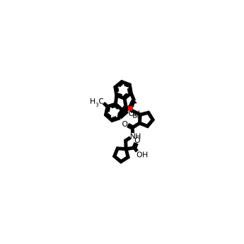 Cc1ccc2c3c(Br)c(n2C2CCCC2C(=O)NCC2(C(=O)O)CCCC2)-c2cccc(c2C(=O)O)-c13